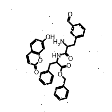 NC(Cc1cccc(C=O)c1)C(=O)NC(Cc1ccccc1)C(=O)OCc1ccccc1.O=c1ccc2ccc(O)cc2o1